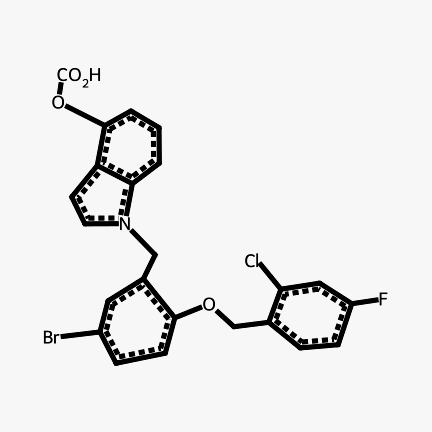 O=C(O)Oc1cccc2c1ccn2Cc1cc(Br)ccc1OCc1ccc(F)cc1Cl